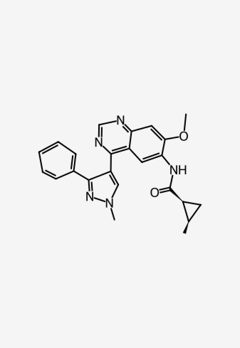 COc1cc2ncnc(-c3cn(C)nc3-c3ccccc3)c2cc1NC(=O)[C@H]1C[C@H]1C